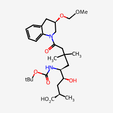 COCO[C@@H]1Cc2ccccc2N(C(=O)CC(C)(C)C[C@H](NC(=O)OC(C)(C)C)[C@@H](O)C[C@@H](C)C(=O)O)C1